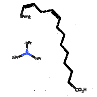 CCCCC/C=C\C/C=C\CCCCCCCC(=O)O.CCCN(CCC)CCC